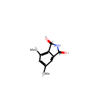 COc1cc(OC)c2c(c1)C(=O)NC2=O